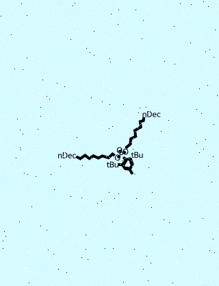 [CH2]c1cc(C(C)(C)C)c(P(=O)(OCCCCCCCCCCCCCCCCCC)OCCCCCCCCCCCCCCCCCC)c(C(C)(C)C)c1